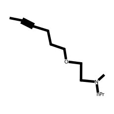 CC#CCCCOCCN(C)CCC